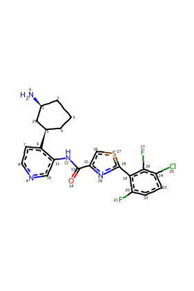 N[C@H]1CCC[C@@H](c2ccncc2NC(=O)c2csc(-c3c(F)ccc(Cl)c3F)n2)C1